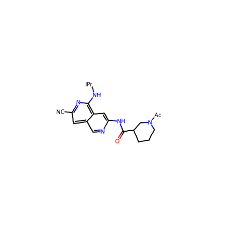 CC(=O)N1CCCC(C(=O)Nc2cc3c(NC(C)C)nc(C#N)cc3cn2)C1